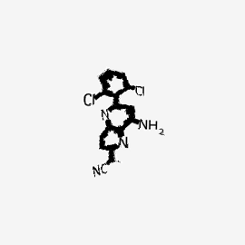 N#C[CH]c1ccc2nc(-c3c(Cl)cccc3Cl)cc(N)c2n1